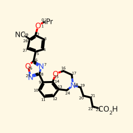 CC(C)Oc1ccc(-c2nc(-c3cccc4c3OCCN(CCCCC(=O)O)C4)no2)cc1C#N